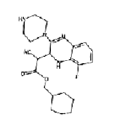 N#CC(C(=O)OCC1CCCCC1)C1Nc2c(F)cccc2N=C1N1CCNCC1